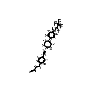 C=CCCc1ccc(C#C[C@H]2CC[C@H](c3ccc(OC(F)C(F)(F)F)cc3)CC2)cc1